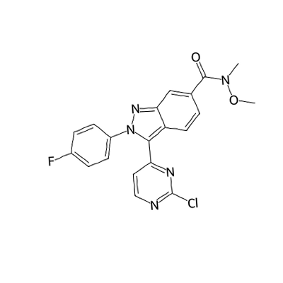 CON(C)C(=O)c1ccc2c(-c3ccnc(Cl)n3)n(-c3ccc(F)cc3)nc2c1